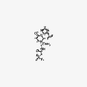 N[C@H](CNC(=O)CC(F)(F)F)c1ccc(Cl)c(-c2ncnn2C(F)F)c1